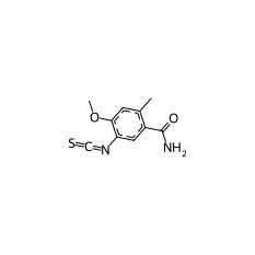 COc1cc(C)c(C(N)=O)cc1N=C=S